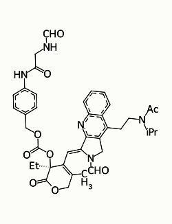 CC[C@@]1(OC(=O)OCc2ccc(NC(=O)CNC=O)cc2)C(=O)OCC(C)=C1/C=C1/c2nc3ccccc3c(CCN(C(C)=O)C(C)C)c2CN1C=O